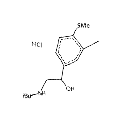 CCC(C)NCC(O)c1ccc(SC)c(C)c1.Cl